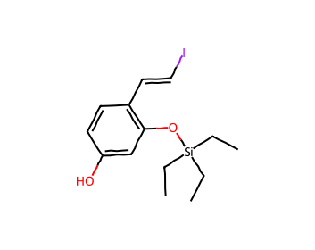 CC[Si](CC)(CC)Oc1cc(O)ccc1/C=C/I